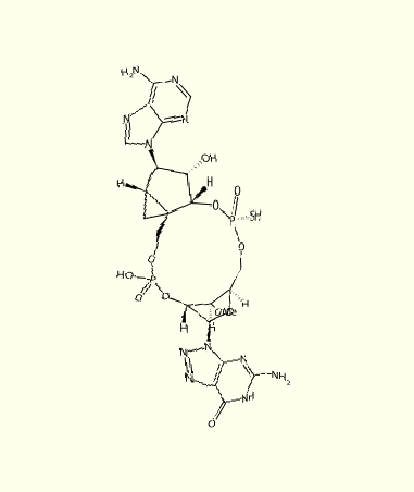 CO[C@H]1[C@H]2OP(=O)(O)OC[C@@]34C[C@@H]3[C@@H](n3cnc5c(N)ncnc53)[C@H](O)[C@@H]4O[P@](=O)(S)OC[C@H]1O[C@H]2n1nnc2c(=O)[nH]c(N)nc21